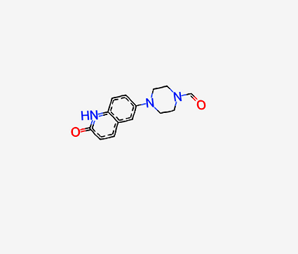 O=CN1CCN(c2ccc3[nH]c(=O)ccc3c2)CC1